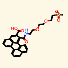 CS(=O)(=O)CCOCCOCCNC(=O)c1c(C(=O)O)cc2cccc3c4cccc5cccc(c1c23)c54